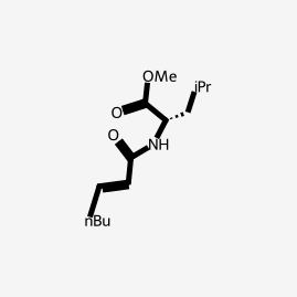 CCCC/C=C/C(=O)N[C@@H](CC(C)C)C(=O)OC